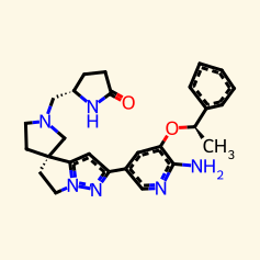 C[C@@H](Oc1cc(-c2cc3n(n2)CC[C@@]32CCN(C[C@@H]3CCC(=O)N3)C2)cnc1N)c1ccccc1